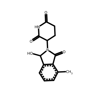 Cc1cccc2c1C(=O)N(C1CCC(=O)NC1=O)C2O